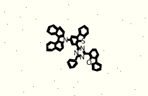 c1ccc(-c2nc(-c3cccc4c3oc3ccccc34)nc(-c3cc(-n4c5ccc6ccccc6c5c5c6ccccc6ccc54)cc4c3sc3ccccc34)n2)cc1